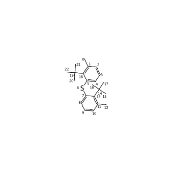 Cc1cccc(Sc2cccc(C)c2C(C)(C)C)c1C(C)(C)C